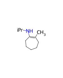 CC1=C(NC(C)C)CCCCC1